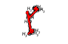 CC(=O)OC[C@H]1O[C@@H](OCCOCCOCCOCC(=O)NCCCC[C@H](NC(=O)COCCOCCOCCO[C@H]2C[C@@H](OC(C)=O)[C@@H](OC(C)=O)[C@@H](COC(C)=O)O2)C(=O)NCC(=O)OCc2ccccc2)C[C@@H](OC(C)=O)[C@H]1OC(C)=O